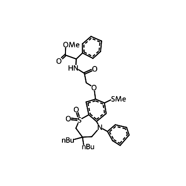 CCCCC1(CCCC)CN(c2ccccc2)c2cc(SC)c(OCC(=O)NC(C(=O)OC)c3ccccc3)cc2S(=O)(=O)C1